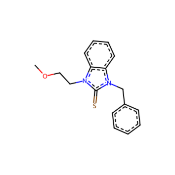 COCCn1c(=S)n(Cc2ccccc2)c2ccccc21